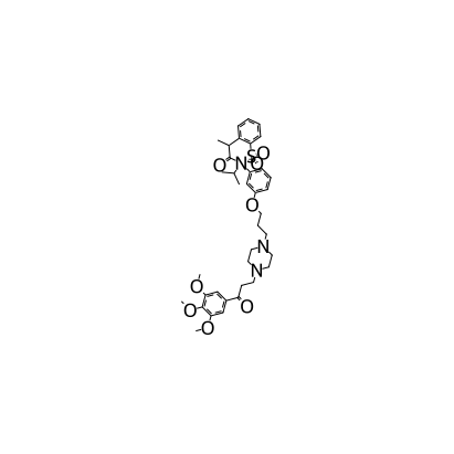 COc1cc(C(=O)CCN2CCN(CCCOc3cccc([N+]4(C(C)C)C(=O)C(C)c5ccccc5S4(=O)=O)c3)CC2)cc(OC)c1OC